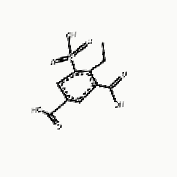 CCc1c(C(=O)O)cc(C(=O)O)cc1S(=O)(=O)O